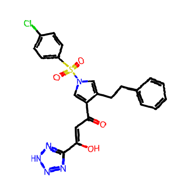 O=C(C=C(O)c1nn[nH]n1)c1cn(S(=O)(=O)c2ccc(Cl)cc2)cc1CCc1ccccc1